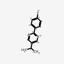 CC(C)c1cnc(-c2ccc(F)cc2)nc1